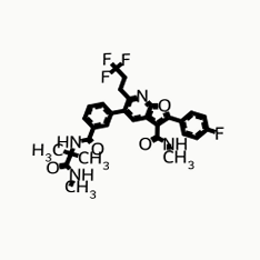 CNC(=O)c1c(-c2ccc(F)cc2)oc2nc(CCC(F)(F)F)c(-c3cccc(C(=O)NC(C)(C)C(=O)NC)c3)cc12